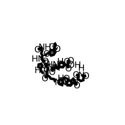 CCS(=O)(=O)c1cccc(OC[C@H](CCC(N)=O)NC(=O)[C@@H]2CC[C@@H]3CCN(C(=O)CCCCN4CCN5c6ccc7c(c6OC[C@H]5C4)CN([C@H]4CCC(=O)NC4=O)C7=O)C[C@H](NC(=O)c4cc5cc(C(=O)P(=O)(O)O)ccc5[nH]4)C(=O)N32)c1